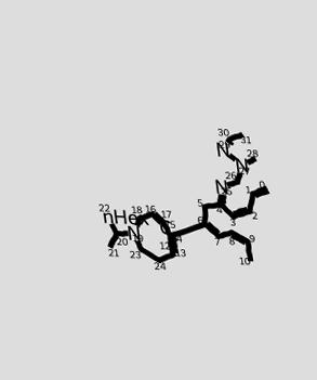 C=C/C=C\C(C/C(=C\C=C/C)C1=CC2=CCC(=C1)CN(C(C)CCCCCC)CC2)=N/CN(C)/N=C\C